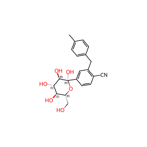 Cc1ccc(Cc2cc([C@@]3(O)O[C@H](CO)[C@@H](O)[C@H](O)[C@H]3O)ccc2C#N)cc1